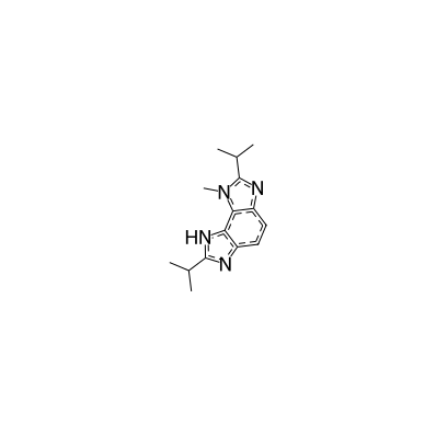 CC(C)c1nc2ccc3nc(C(C)C)n(C)c3c2[nH]1